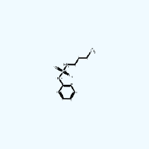 CCCCNS(=O)(=O)Nc1ccccc1